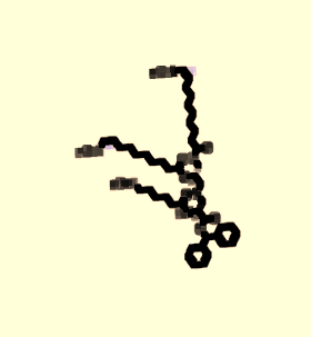 CCCCCCCC/C=C\CCCCCCCC(=O)OC[C@H](CSC[C@H](NC(=O)CCCCCCCCCCCCCCC)C(=O)OC(c1ccccc1)c1ccccc1)OC(=O)CCCCCCC/C=C\CCCCCCCC